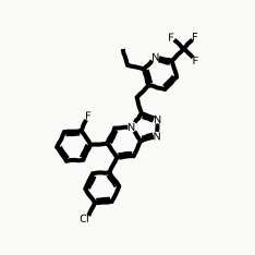 CCc1nc(C(F)(F)F)ccc1Cc1nnc2cc(-c3ccc(Cl)cc3)c(-c3ccccc3F)cn12